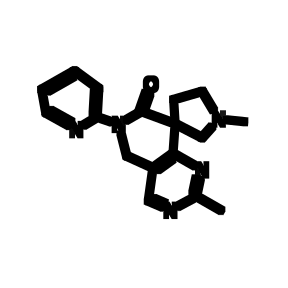 Cc1ncc2c(n1)C1(CCN(C)C1)C(=O)N(c1ccccn1)C2